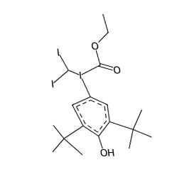 CCOC(=O)I(c1cc(C(C)(C)C)c(O)c(C(C)(C)C)c1)C(I)I